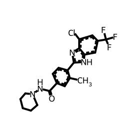 Cc1cc(C(=O)NN2CCCCC2)ccc1-c1nc2c(Cl)cc(C(F)(F)F)cc2[nH]1